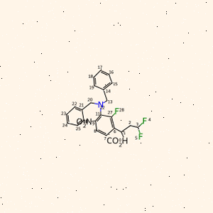 O=C(O)C(CC(F)F)c1ccc([N+](=O)[O-])c(N(Cc2ccccc2)Cc2ccccc2)c1F